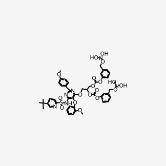 COc1ccc(-c2nc(NS(=O)(=O)c3ccc(C(C)(C)C)cn3)c(Oc3ccccc3OC)c(OCC(COC(=O)Oc3cccc(CON(O)O)c3)OC(=O)Oc3cccc(CON(O)O)c3)n2)cc1